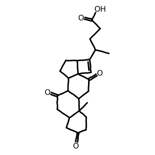 CC(CCC(=O)O)C1=CC23C(=O)CC4C(C(=O)CC5CC(=O)CCC54C)C2CCC13